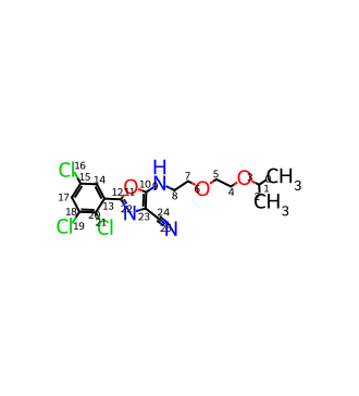 CC(C)OCCOCCNc1oc(-c2cc(Cl)cc(Cl)c2Cl)nc1C#N